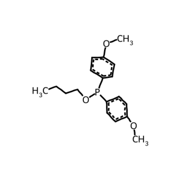 CCCCOP(c1ccc(OC)cc1)c1ccc(OC)cc1